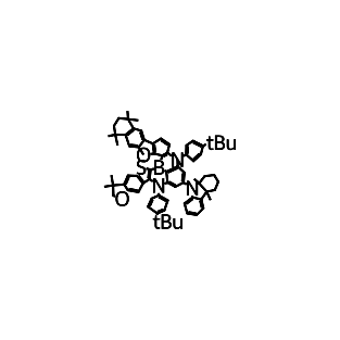 CC(C)(C)c1ccc(N2c3cc(N4c5ccccc5C5(C)CCCCC45C)cc4c3B(c3sc5cc6c(cc5c3N4c3ccc(C(C)(C)C)cc3)OCC6(C)C)c3c2ccc2c3oc3cc4c(cc32)C(C)(C)CCC4(C)C)cc1